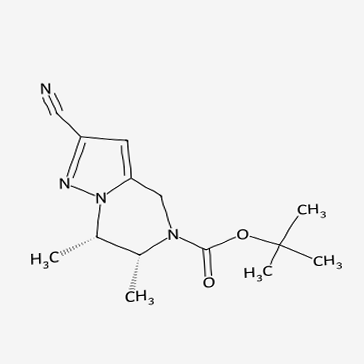 C[C@@H]1[C@H](C)n2nc(C#N)cc2CN1C(=O)OC(C)(C)C